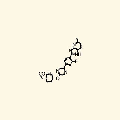 Cc1ccc2[nH]c(-c3ccc(-c4cnc(O[C@H]5CC[C@@H](CC(=O)O)CC5)cn4)cc3F)nc2n1